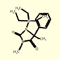 CC[Si](CC)(CC)N1C(=O)N(C)C(=O)C1(C)c1ccccc1